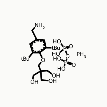 CC(C)(C)c1cc(CN)cc(C(C)(C)C)c1OCC(CO)(CO)CO.O=P(O)(O)OP(=O)(O)O.P